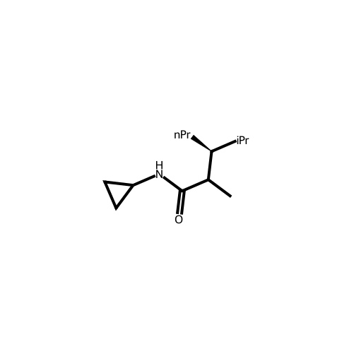 CCC[C@@H](C(C)C)C(C)C(=O)NC1CC1